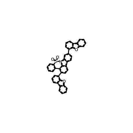 O=S1(=O)c2ccccc2-c2c(-c3cccc4c3oc3ccccc34)ccc3c4ccc(-c5cccc6c5oc5ccccc56)cc4n1c23